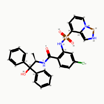 C[C@@H](NC(=O)c1ccc(Cl)cc1NS(=O)(=O)C1=CC=CN2SNC=C12)C(O)(c1ccccc1)c1ccccc1